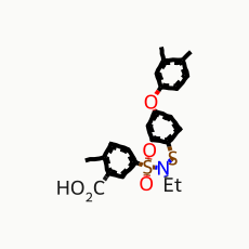 CCN(Sc1ccc(Oc2ccc(C)c(C)c2)cc1)S(=O)(=O)c1ccc(C)c(C(=O)O)c1